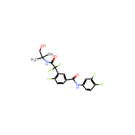 CC(C)(CO)NC(=O)C(F)(F)c1cc(C(=O)Nc2ccc(F)c(F)c2)ccc1F